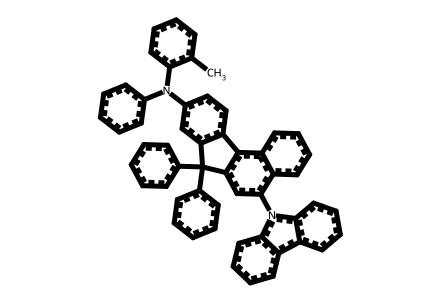 Cc1ccccc1N(c1ccccc1)c1ccc2c(c1)C(c1ccccc1)(c1ccccc1)c1cc(-n3c4ccccc4c4ccccc43)c3ccccc3c1-2